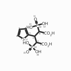 O=C(O)C(C(c1cccs1)C(C(=O)O)P(=O)(O)O)P(=O)(O)O